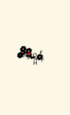 O=C(Cc1cnc(NC(c2ccccc2)(c2ccccc2)c2ccccc2)s1)Nc1cc(F)cc(F)c1